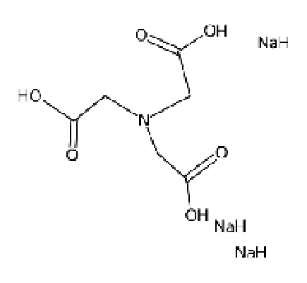 O=C(O)CN(CC(=O)O)CC(=O)O.[NaH].[NaH].[NaH]